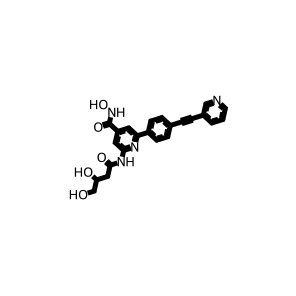 O=C(CC(O)CO)Nc1cc(C(=O)NO)cc(-c2ccc(C#Cc3cccnc3)cc2)n1